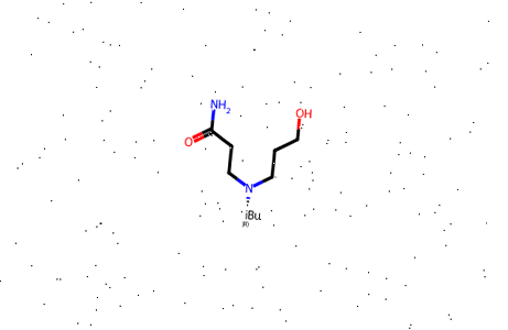 CC[C@@H](C)N([CH]CCO)CCC(N)=O